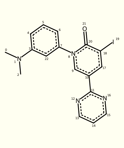 CN(C)c1cccc(-n2cc(-c3ncccn3)cc(I)c2=O)c1